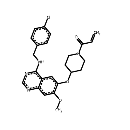 C=CC(=O)N1CCC(Oc2cc3c(NCc4ccc(Cl)cc4)ncnc3cc2OC)CC1